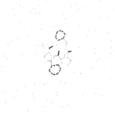 CCN(C(=O)OCc1ccccc1)[C@@H](C)C(=O)N1C(c2ccccc2)SC[C@H]1C(=O)O